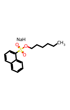 CCCCCCOS(=O)(=O)c1cccc2ccccc12.[NaH]